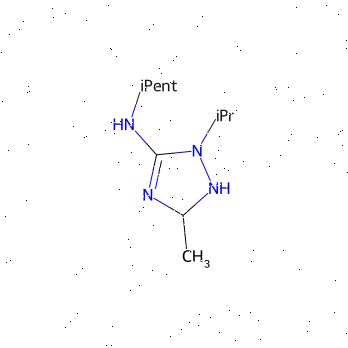 CCCC(C)NC1=NC(C)NN1C(C)C